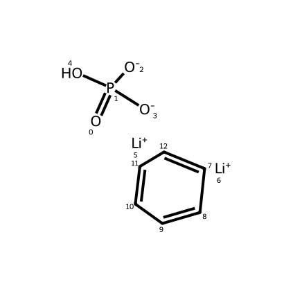 O=P([O-])([O-])O.[Li+].[Li+].c1ccccc1